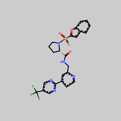 O=C(NCc1cc(-c2ncc(C(F)(F)F)cn2)ccn1)[C@@H]1CCCN1S(=O)(=S)c1cc2ccccc2o1